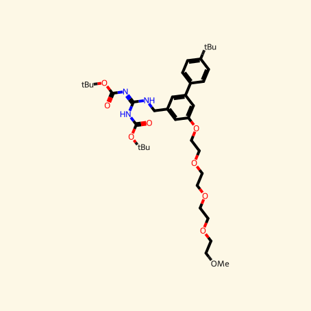 COCCOCCOCCOCCOc1cc(CN/C(=N/C(=O)OC(C)(C)C)NC(=O)OC(C)(C)C)cc(-c2ccc(C(C)(C)C)cc2)c1